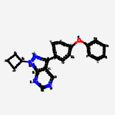 c1ccc(Oc2ccc(-c3nn(C4CCC4)c4ncncc34)cc2)cc1